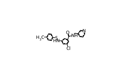 Cc1ccc(SNc2cc(Cl)cc(C(=O)NCc3cccnc3)c2)cc1